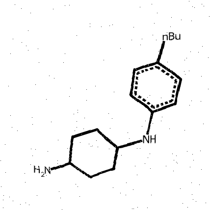 CCCCc1ccc(NC2CCC(N)CC2)cc1